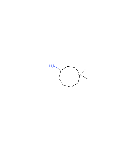 C[Si]1(C)CCCCC(N)CC1